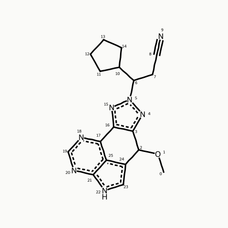 COC1c2nn(C(CC#N)C3CCCC3)nc2-c2ncnc3[nH]cc1c23